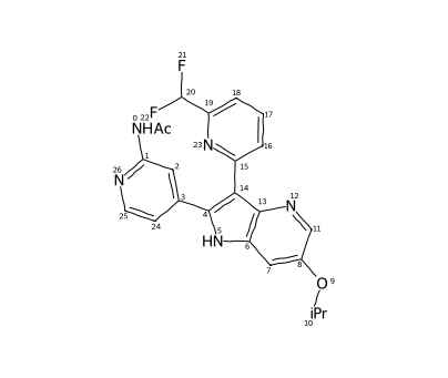 CC(=O)Nc1cc(-c2[nH]c3cc(OC(C)C)cnc3c2-c2cccc(C(F)F)n2)ccn1